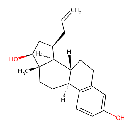 C=CC[C@@H]1C[C@H](O)[C@@]2(C)CC[C@@H]3c4ccc(O)cc4CC[C@H]3[C@H]12